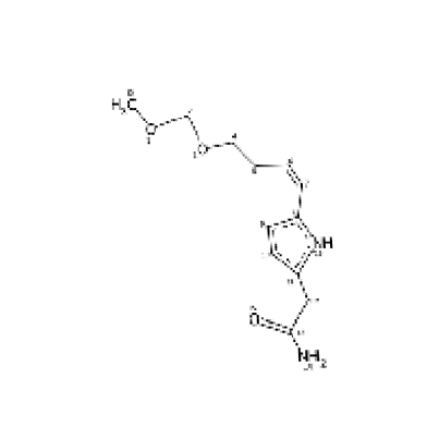 COCOCC/C=C\c1ccc(CC(N)=O)[nH]1